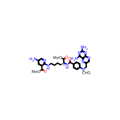 COC(=O)c1cc(N)cnc1NCCCC[C@H](NC(=O)c1ccc(N(C=O)Cc2cnc3nc(N)nc(N)c3n2)cc1)C(=O)OC